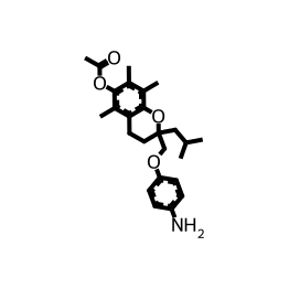 CC(=O)Oc1c(C)c(C)c2c(c1C)CCC(COc1ccc(N)cc1)(CC(C)C)O2